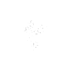 C[C@@H](COc1ccnc2c1[C@H](C)CCC2)C[C@H]1Cc2cc3c(cc2C12CCC(Nc1cccc(Cl)c1)(C(=O)O)CC2)OCC1(CCOCC1)CO3